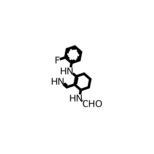 N=CC1=C(Nc2ccccc2F)CCCC1NC=O